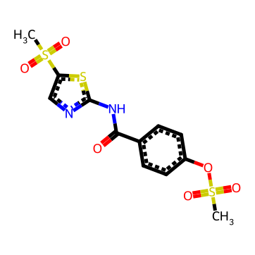 CS(=O)(=O)Oc1ccc(C(=O)Nc2ncc(S(C)(=O)=O)s2)cc1